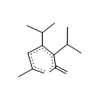 Cc1cc(C(C)C)c(C(C)C)c(=O)o1